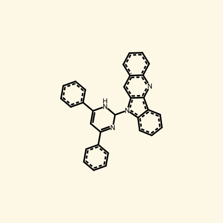 C1=C(c2ccccc2)NC(n2c3ccccc3c3nc4ccccc4cc32)N=C1c1ccccc1